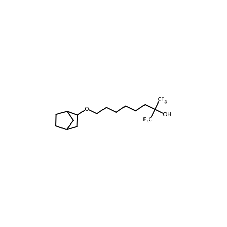 OC(CCCCCCOC1CC2CCC1C2)(C(F)(F)F)C(F)(F)F